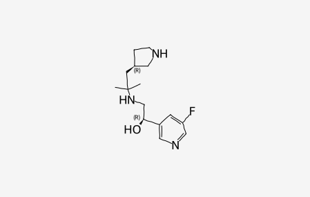 CC(C)(C[C@H]1CCNC1)NC[C@H](O)c1cncc(F)c1